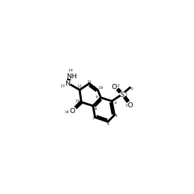 CS(=O)(=O)c1cccc2c1C=CC(N=N)C2=O